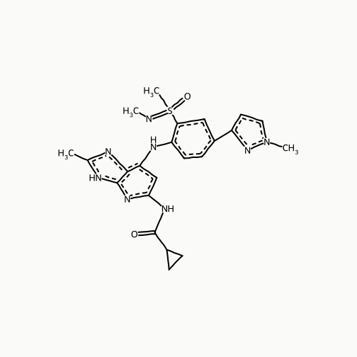 CN=S(C)(=O)c1cc(-c2ccn(C)n2)ccc1Nc1cc(NC(=O)C2CC2)nc2[nH]c(C)nc12